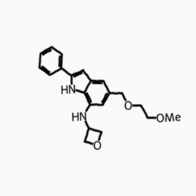 COCCOCc1cc(NC2COC2)c2[nH]c(-c3ccccc3)cc2c1